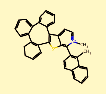 Cc1c(-c2c3sc4c(c3cc[n+]2C)-c2ccccc2-c2ccccc2C2=C4C=CCC2)ccc2ccccc12